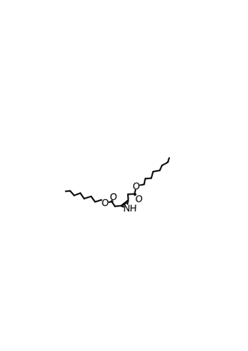 CCCCCCCCOC(=O)CC1=C(CC(=O)OCCCCCCCC)N1